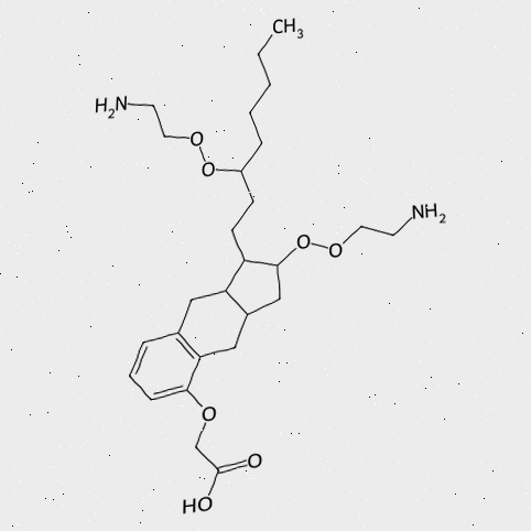 CCCCCC(CCC1C(OOCCN)CC2Cc3c(cccc3OCC(=O)O)CC21)OOCCN